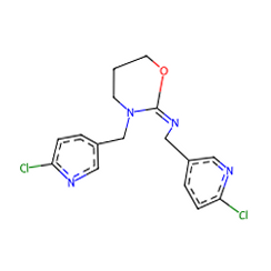 Clc1ccc(CN=C2OCCCN2Cc2ccc(Cl)nc2)cn1